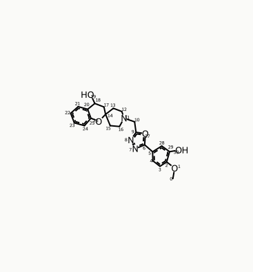 COc1ccc(-c2nnc(CN3CCC4(CC3)CC(O)c3ccccc3O4)o2)cc1O